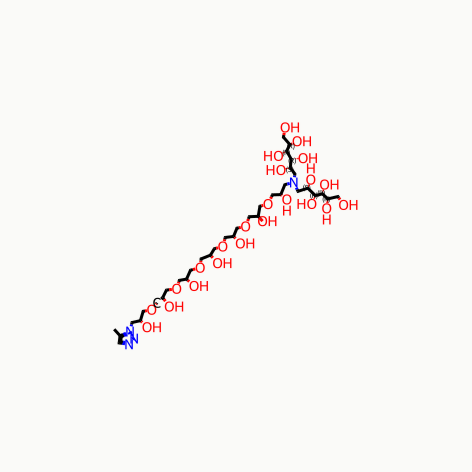 Cc1cnnn1CC(O)COCC(O)COCC(O)COCC(O)COCC(O)COCC(O)COCC(O)CN(C[C@H](O)[C@@H](O)[C@H](O)[C@H](O)CO)C[C@H](O)[C@@H](O)[C@H](O)[C@H](O)CO